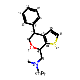 CCCN(C)CC1OCC(c2ccccc2)c2ccsc21